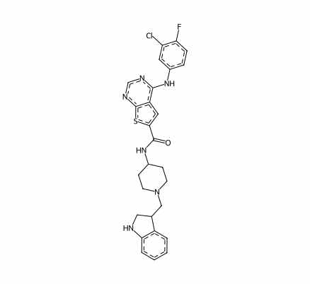 O=C(NC1CCN(CC2CNc3ccccc32)CC1)c1cc2c(Nc3ccc(F)c(Cl)c3)ncnc2s1